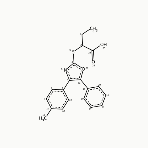 CCC(Sc1nc(-c2ccc(C)cc2)c(-c2ccccc2)o1)C(=O)O